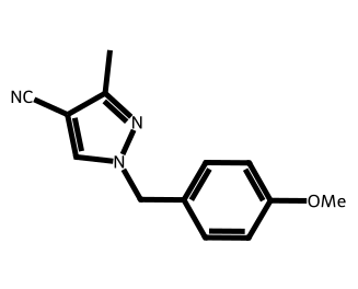 COc1ccc(Cn2cc(C#N)c(C)n2)cc1